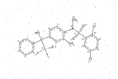 Cc1cc(C(O)(c2ccccc2)C(F)(F)F)ccc1N(C)S(=O)(=O)c1cc(Cl)ccc1Cl